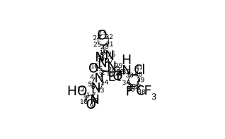 CCc1c(N2CCN(c3nocc3O)CC2)c(=O)n2nc(C3=CCOCC3)nc2n1CC(=O)Nc1cc(F)c(C(F)(F)F)cc1Cl